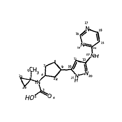 CC1(N(C(=O)O)C2CCC(c3cc(Nc4ccncn4)n[nH]3)C2)CC1